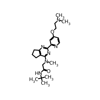 CN(C)CCOc1ccnc(-c2nc3c(c(N(C)CC(=O)NC(C)(C)C)n2)CCC3)c1